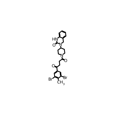 Cc1c(Br)cc(C(=O)CCC(=O)N2CCC(N3Cc4ccccc4NC3=O)CC2)cc1Br